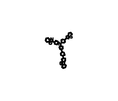 c1csc2cc(-c3ccc(N(c4ccc(-c5ccc(-c6ccc7c(c6)oc6ccccc67)cc5)cc4)c4ccc(-c5nc6ccccc6o5)cc4)cc3)cc-2c1